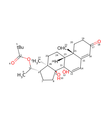 CC(OC(=O)C(C)(C)C)[C@H]1CC[C@@]2(O)[C@]3(O)C=CC4=CC(=O)CC[C@@]4(C=O)[C@H]3CC[C@]12C